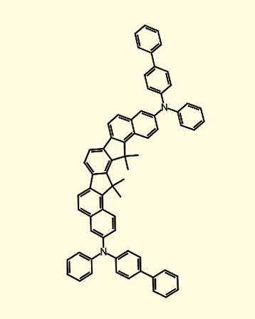 CC1(C)c2c(ccc3c2C(C)(C)c2c-3ccc3cc(N(c4ccccc4)c4ccc(-c5ccccc5)cc4)ccc23)-c2ccc3cc(N(c4ccccc4)c4ccc(-c5ccccc5)cc4)ccc3c21